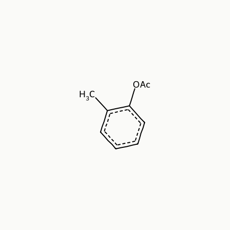 CC(=O)Oc1ccccc1C